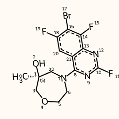 C[C@@]1(O)COCCN(c2nc(F)nc3c(F)c(Br)c(F)cc23)C1